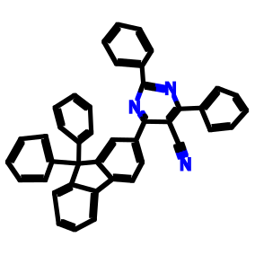 N#Cc1c(-c2ccccc2)nc(-c2ccccc2)nc1-c1ccc2c(c1)C(c1ccccc1)(c1ccccc1)c1ccccc1-2